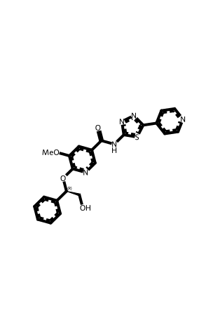 COc1cc(C(=O)Nc2nnc(-c3ccncc3)s2)cnc1O[C@@H](CO)c1ccccc1